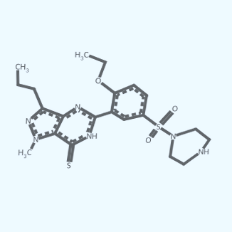 CCCc1nn(C)c2c(=S)[nH]c(-c3cc(S(=O)(=O)N4CCNCC4)ccc3OCC)nc12